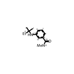 CCC(C)(C)Nc1cccc(C(=O)NC)c1